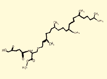 COC(=O)C(CSC/C=C(\C)CCCC(C)CCCC(C)CCCC(C)CCCC(C)C)NC(=O)CCC(=O)CO